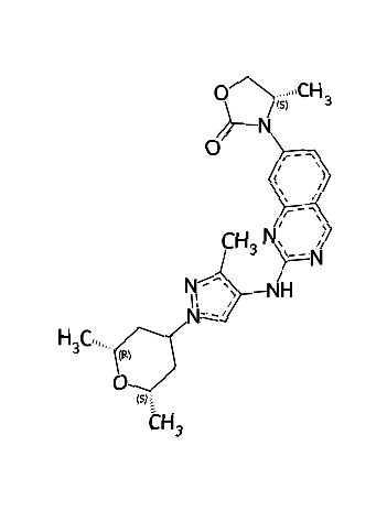 Cc1nn(C2C[C@@H](C)O[C@@H](C)C2)cc1Nc1ncc2ccc(N3C(=O)OC[C@@H]3C)cc2n1